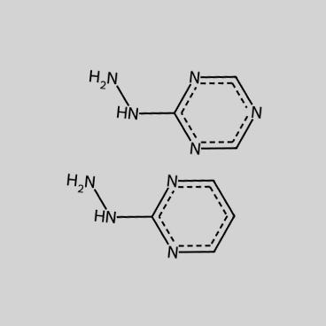 NNc1ncccn1.NNc1ncncn1